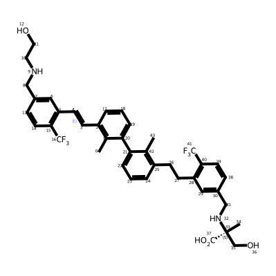 Cc1c(/C=C/c2cc(CNCCO)ccc2C(F)(F)F)cccc1-c1cccc(CCc2cc(CN[C@@](C)(CO)C(=O)O)ccc2C(F)(F)F)c1C